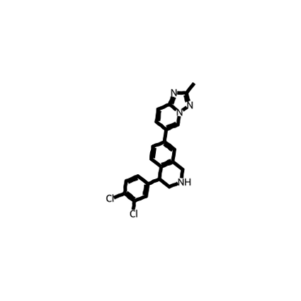 Cc1nc2ccc(-c3ccc4c(c3)CNCC4c3ccc(Cl)c(Cl)c3)cn2n1